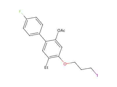 CCc1cc(-c2ccc(F)cc2)c(OC(C)=O)cc1OCCCI